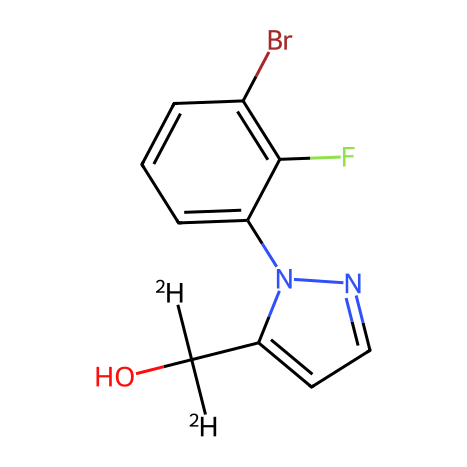 [2H]C([2H])(O)c1ccnn1-c1cccc(Br)c1F